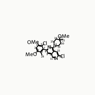 COc1cc(OC)c(Cl)c(-c2cc3cnc(Cl)cc3c(N3CCC(C)(OC)CC3)n2)c1C